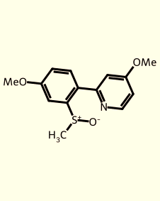 COc1ccnc(-c2ccc(OC)cc2[S+](C)[O-])c1